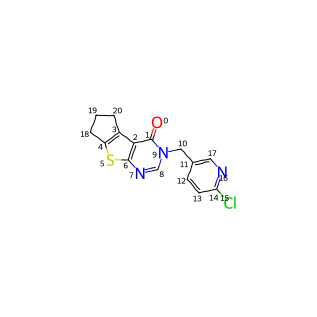 O=c1c2c3c(sc2ncn1Cc1ccc(Cl)nc1)CCC3